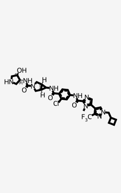 Cn1c(-c2cn(CC3CCC3)nc2C(F)(F)F)cnc1C(=O)Nc1ccc(C(=O)NC2[C@H]3CN(C(=O)N[C@@H]4CNC[C@H]4O)C[C@@H]23)c(Cl)c1